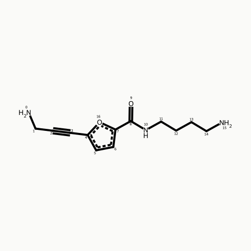 NCC#Cc1ccc(C(=O)NCCCCN)o1